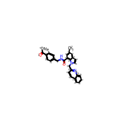 COC(=O)c1ccc(CNC(=O)c2cc(C)cc3ccn(Cc4ccc5ccccc5n4)c23)cc1